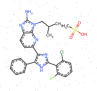 CC(C)Cn1c(N)nc2ccc(-c3nc(-c4c(F)cccc4Cl)[nH]c3-c3ccccc3)nc21.CS(=O)(=O)O